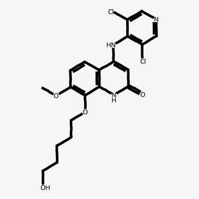 COc1ccc2c(Nc3c(Cl)cncc3Cl)cc(=O)[nH]c2c1OCCCCCO